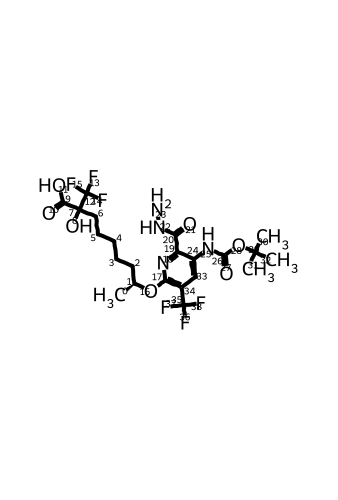 C[C@@H](CCCCCC(O)(C(=O)O)C(F)(F)F)Oc1nc(C(=O)NN)c(NC(=O)OC(C)(C)C)cc1C(F)(F)F